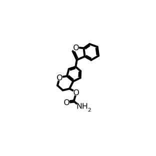 NC(=O)OC1CCOc2cc(-c3coc4ccccc34)ccc21